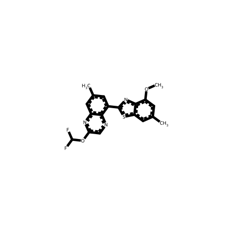 COc1cc(C)cc2sc(-c3cc(C)cc4nc(OC(F)F)cnc34)nc12